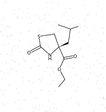 CCOC(=O)[C@@]1(CC(C)C)CSC(=O)N1